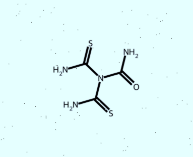 NC(=O)N(C(N)=S)C(N)=S